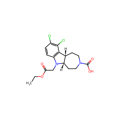 CCOC(=O)CN1c2ccc(Cl)c(Cl)c2[C@@H]2CCN(C(=O)O)CC[C@@H]21